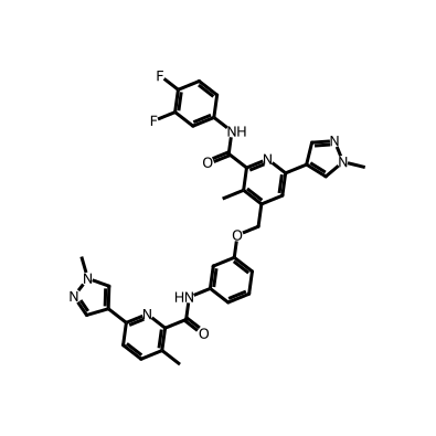 Cc1ccc(-c2cnn(C)c2)nc1C(=O)Nc1cccc(OCc2cc(-c3cnn(C)c3)nc(C(=O)Nc3ccc(F)c(F)c3)c2C)c1